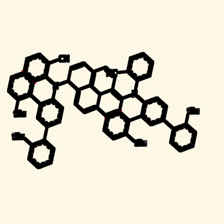 CC(C)(C)c1ccccc1-c1ccc(N(C2=C3C=CC4=C5C(=CC=C(C=C2)C35)C(N(c2ccccc2C#N)c2ccc(-c3ccccc3C(C)(C)C)cc2-c2ccccc2C(C)(C)C)C=C4)c2ccccc2C#N)c(-c2ccccc2C(C)(C)C)c1